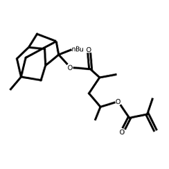 C=C(C)C(=O)OC(C)CC(C)C(=O)OC1(CCCC)C2CC3CC1CC(C)(C3)C2